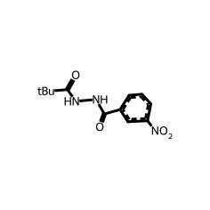 CC(C)(C)C(=O)NNC(=O)c1cccc([N+](=O)[O-])c1